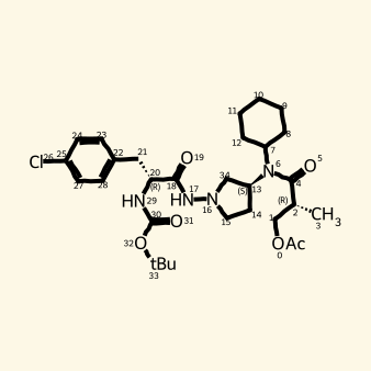 CC(=O)OC[C@@H](C)C(=O)N(C1CCCCC1)[C@H]1CCN(NC(=O)[C@@H](Cc2ccc(Cl)cc2)NC(=O)OC(C)(C)C)C1